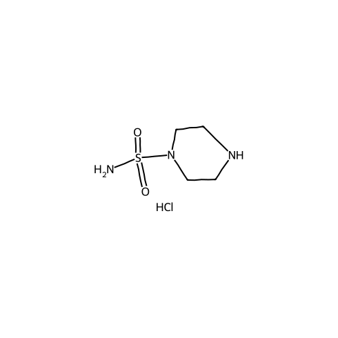 Cl.NS(=O)(=O)N1CCNCC1